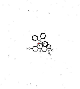 C[C@]12CC[C@@H]3[C@@H](CCC4=CC(O)CC[C@@]43CO[Si](c3ccccc3)(c3ccccc3)c3ccccc3)[C@@H]1CCC2=O